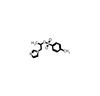 Cc1ccc(S(=O)(=O)OC(C)Cn2ccnc2)cc1